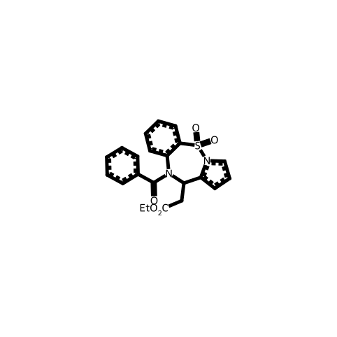 CCOC(=O)CC1c2cccn2S(=O)(=O)c2ccccc2N1C(=O)c1ccccc1